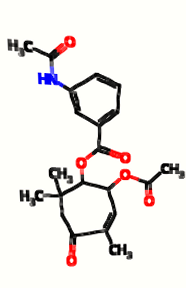 CC(=O)Nc1cccc(C(=O)OC2C(OC(C)=O)C=C(C)C(=O)CC2(C)C)c1